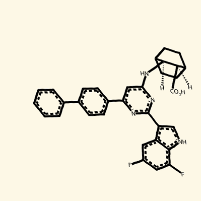 O=C(O)[C@@H]1C2CCC(CC2)[C@@H]1Nc1cc(-c2ccc(-c3ccccc3)cc2)nc(-c2c[nH]c3c(F)cc(F)cc23)n1